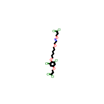 ClC(Cl)=CCON=CCOCCCCCCOc1c(Cl)cc(OCC=C(Cl)Cl)cc1Cl